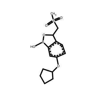 CS(=O)(=O)CC1OB(O)c2cc(OC3CCCC3)ccc21